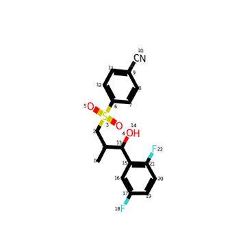 CC(CS(=O)(=O)c1ccc(C#N)cc1)C(O)c1cc(F)ccc1F